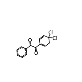 O=C(C(=O)c1ccccc1)C1=CCC(Cl)(Cl)C=C1